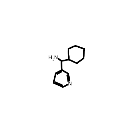 NC(c1cccnc1)C1CCCCC1